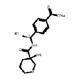 COC(=O)c1ccc([C@H](C)NC(=O)C2(N)CCCOC2)cc1.Cl